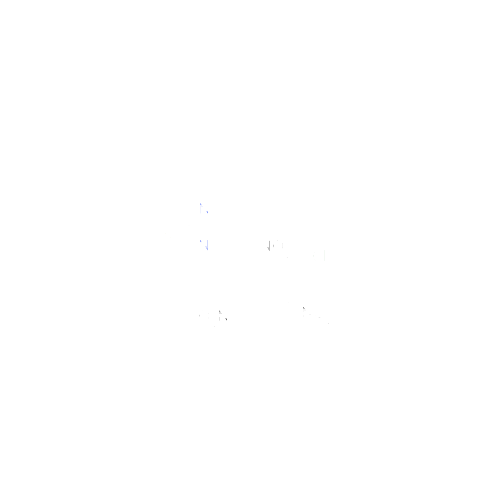 Cc1c([N+](=O)[O-])cc([N+](=O)[O-])cc1[N+](=O)[O-].Cl.c1ccc(C2CN3CCSC3=N2)cc1